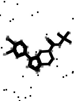 CC(C)(C)OC(=O)N1CCc2[nH]nc(-c3ccc(Cl)c(I)c3)c2C1